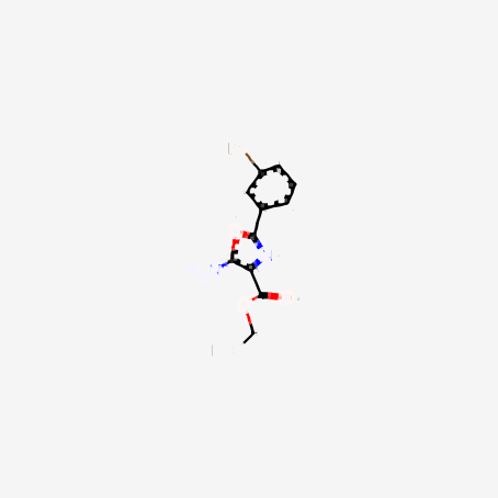 CCOC(=O)c1nc(-c2cccc(Br)c2)oc1N